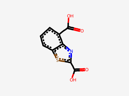 O=C(O)c1nc2c(C(=O)O)cccc2s1